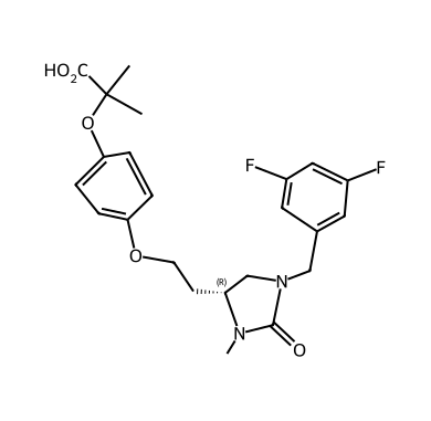 CN1C(=O)N(Cc2cc(F)cc(F)c2)C[C@H]1CCOc1ccc(OC(C)(C)C(=O)O)cc1